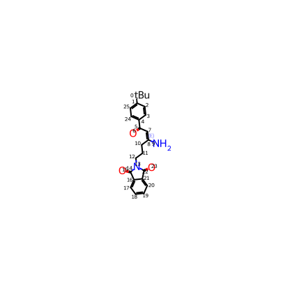 CC(C)(C)c1ccc(C(=O)/C=C(/N)CCCN2C(=O)c3ccccc3C2=O)cc1